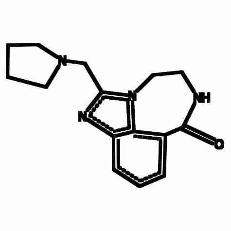 O=C1NCCn2c(CN3CCCC3)nc3cccc1c32